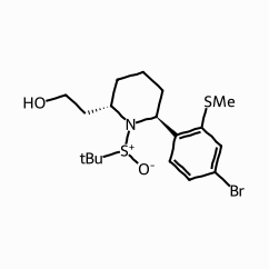 CSc1cc(Br)ccc1[C@@H]1CCC[C@@H](CCO)N1[S+]([O-])C(C)(C)C